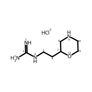 Cl.N=C(N)NCCC1CNCCO1